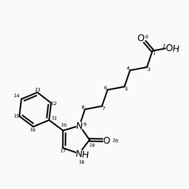 O=C(O)CCCCCCn1c(-c2ccccc2)c[nH]c1=O